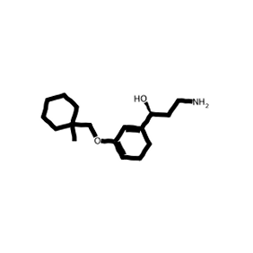 CC1(COC2=CCCC([C@@H](O)CCN)=C2)CCCCC1